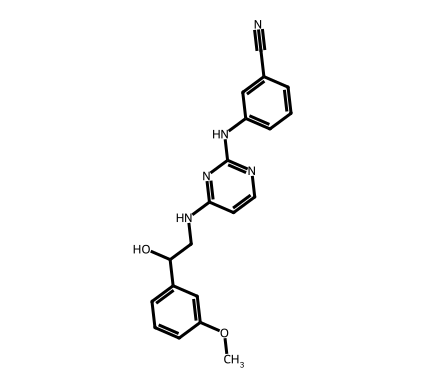 COc1cccc(C(O)CNc2ccnc(Nc3cccc(C#N)c3)n2)c1